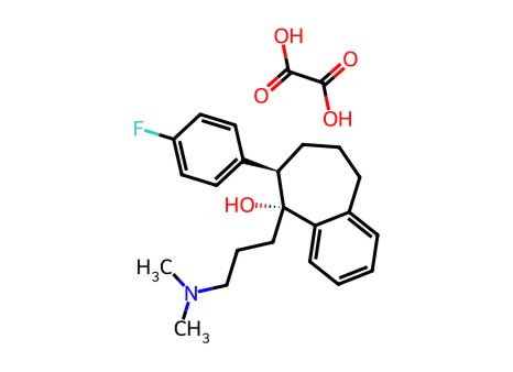 CN(C)CCC[C@]1(O)c2ccccc2CCC[C@@H]1c1ccc(F)cc1.O=C(O)C(=O)O